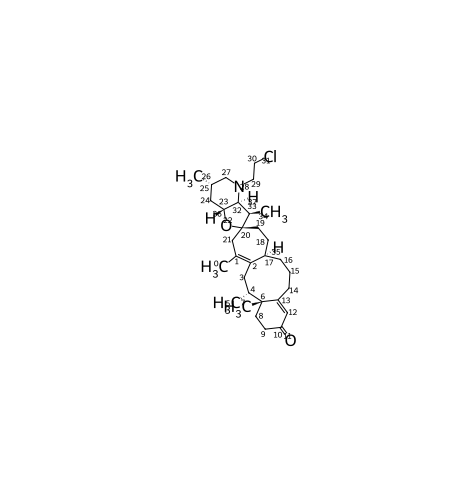 CC1=C2C[C@@H](C)[C@@]3(C)CCC(=O)C=C3CCC[C@@H]2CC[C@@]2(C1)O[C@@H]1C[C@H](C)CN(CCCl)[C@H]1[C@H]2C